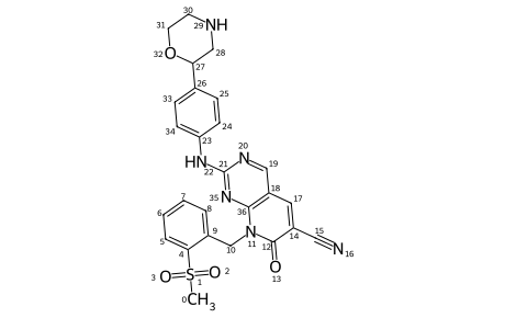 CS(=O)(=O)c1ccccc1Cn1c(=O)c(C#N)cc2cnc(Nc3ccc(C4CNCCO4)cc3)nc21